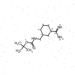 CC(C)(C)OC(=O)NCC1CCCN(C(=N)N)C1